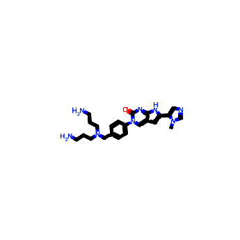 Cn1cncc1-c1cc2cn(-c3ccc(CN(CCCN)CCCN)cc3)c(=O)nc2[nH]1